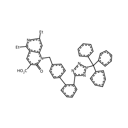 CCc1cc2c(cc(C(=O)O)c(=O)n2Cc2ccc(-c3ccccc3-c3nnn(C(c4ccccc4)(c4ccccc4)c4ccccc4)n3)cc2)c(CC)n1